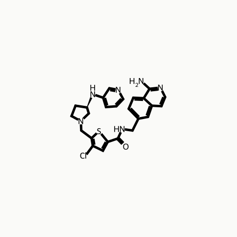 Nc1nccc2cc(CNC(=O)c3cc(Cl)c(CN4CC[C@@H](Nc5cccnc5)C4)s3)ccc12